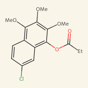 CCC(=O)Oc1c(OC)c(OC)c(OC)c2ccc(Cl)cc12